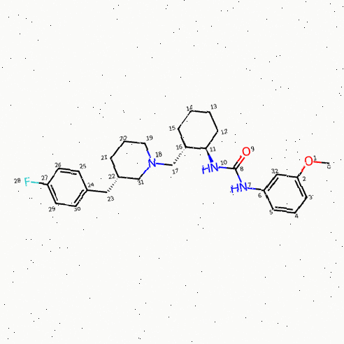 COc1cccc(NC(=O)N[C@@H]2CCCC[C@H]2CN2CCC[C@@H](Cc3ccc(F)cc3)C2)c1